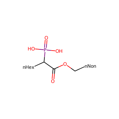 CCCCCCCCCCOC(=O)C(CCCCCC)P(=O)(O)O